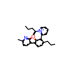 C=C(CCC)[n+]1ccccc1-c1c(CCC)ccc2c1oc1nc(C)ccc12